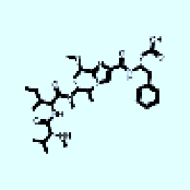 CCC(C)[C@H](NC(=O)[C@@H](NC)C(C)C)C(=O)N(C)[C@H](CC(OC)c1nc(C(=O)N[C@H](CC(=O)O)Cc2ccccc2)cs1)C(C)C